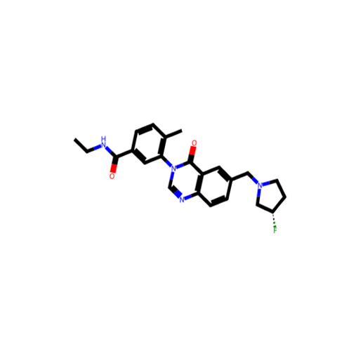 CCNC(=O)c1ccc(C)c(-n2cnc3ccc(CN4CC[C@H](F)C4)cc3c2=O)c1